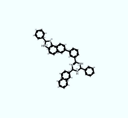 c1ccc(C2NC(c3cccc(-c4ccc5c6c(ccc5c4)NC(c4ccccc4)S6)c3)=NC(c3ccc4ccccc4c3)N2)cc1